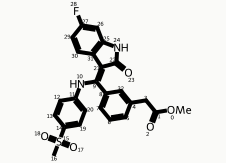 COC(=O)Cc1cccc(C(Nc2ccc(S(C)(=O)=O)cc2)=C2C(=O)Nc3cc(F)ccc32)c1